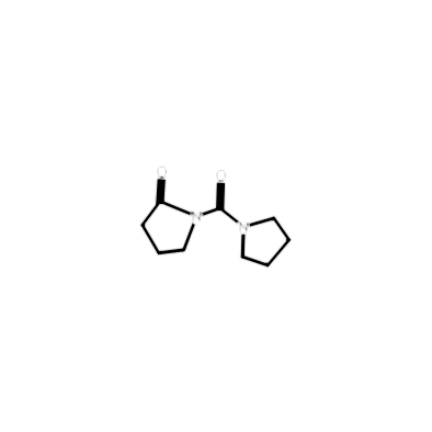 O=C1CCCN1C(=O)N1CCCC1